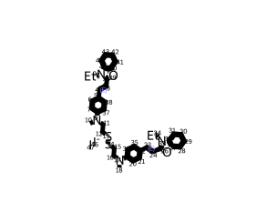 CC[n+]1c(/C=C/c2ccc(N(C)CCSSCCN(C)c3ccc(/C=C/c4oc5ccccc5[n+]4CC)cc3)cc2)oc2ccccc21.[I-].[I-]